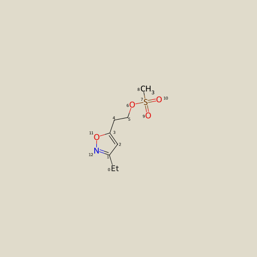 CCc1cc(CCOS(C)(=O)=O)on1